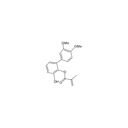 C=C(C)C(=O)Oc1c(O)cccc1-c1ccc(OC)c(OC)c1